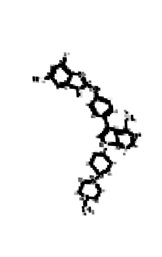 Cc1cc(F)c2nc(Nc3ccc(-c4cn([C@H]5CC[C@H](N6CCN(C)CC6)CC5)c5ncnc(N)c45)cc3)[nH]c2c1